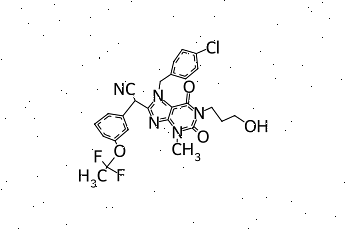 Cn1c(=O)n(CCCO)c(=O)c2c1nc(C(C#N)c1cccc(OC(C)(F)F)c1)n2Cc1ccc(Cl)cc1